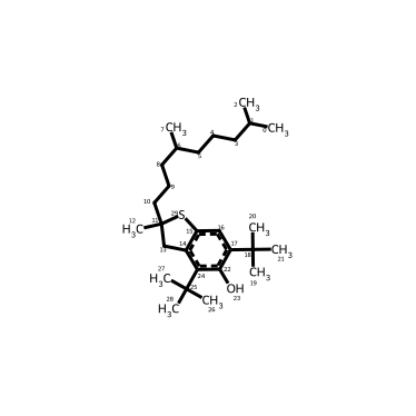 CC(C)CCCC(C)CCCC1(C)Cc2c(cc(C(C)(C)C)c(O)c2C(C)(C)C)S1